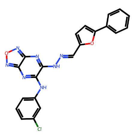 Clc1cccc(Nc2nc3nonc3nc2NN=Cc2ccc(-c3ccccc3)o2)c1